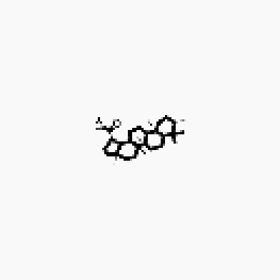 COC(=O)[C@@H]1CC[C@]2(C)CC[C@]3(C)C(CCC4[C@@]5(C)CC[C@H](C)C(C)(C)C5CC[C@]43C)C12